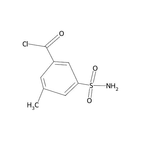 Cc1cc(C(=O)Cl)cc(S(N)(=O)=O)c1